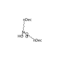 CCCCCCCCCCCCCCCCCCN(CCO)CCOC(=O)CCCCCCCCCCCCCCC